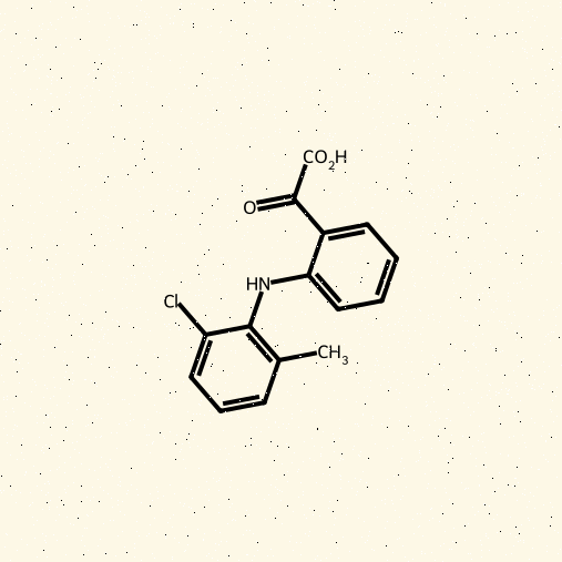 Cc1cccc(Cl)c1Nc1ccccc1C(=O)C(=O)O